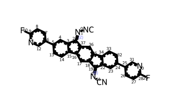 [C-]#[N+]/N=c1/c2cc(-c3ccc(F)nc3)ccc2c2cc3/c(=N/C#N)c4cc(-c5ccc(F)nc5)ccc4c3cc12